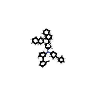 Cc1ccccc1-c1cc(N(c2ccc(-c3ccccc3)cc2)c2ccc(-c3ccc4ccccc4c3-c3ccc4ccccc4c3)cc2)ccc1C